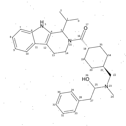 CC(C)C1c2[nH]c3ccccc3c2CCN1C(=O)[C@H]1CC[C@H](CN(C)C(O)Cc2ccccc2)CC1